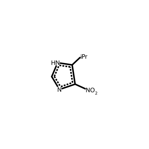 CC(C)c1[nH]cnc1[N+](=O)[O-]